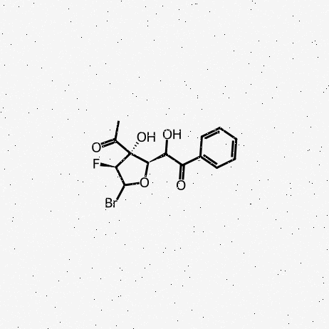 CC(=O)[C@]1(O)[C@H](F)C(Br)O[C@@H]1C(O)C(=O)c1ccccc1